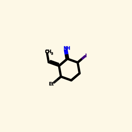 C/C=C1\C(=N)C(I)CCC1CC